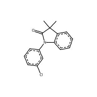 CC1(C)C(=O)N(c2cccc(Cl)c2)c2ccccc21